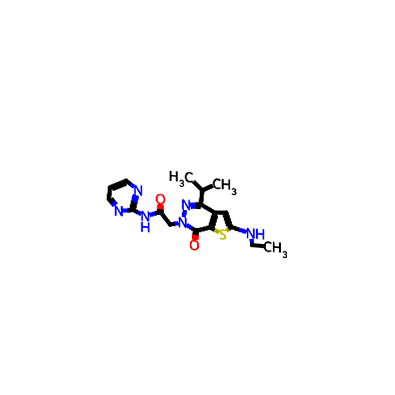 CCNc1cc2c(C(C)C)nn(CC(=O)Nc3ncccn3)c(=O)c2s1